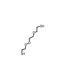 SCCOCCOOCCS